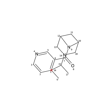 Cc1ccncc1C(=O)N1C2CC1CN(C(C)C)C2